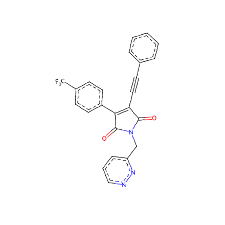 O=C1C(C#Cc2ccccc2)=C(c2ccc(C(F)(F)F)cc2)C(=O)N1Cc1cccnn1